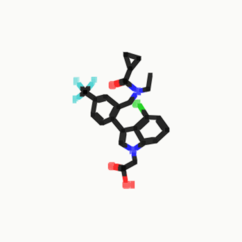 CCN(Cc1cc(C(F)(F)F)ccc1-c1cn(CC(=O)O)c2cccc(Cl)c12)C(=O)C1CC1